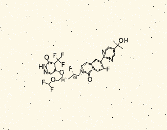 CC(C)(O)c1cnc(-c2cc3ccn(C[C@@H](F)C[C@H](COC(F)F)Oc4cn[nH]c(=O)c4C(F)(F)F)c(=O)c3cc2F)nc1